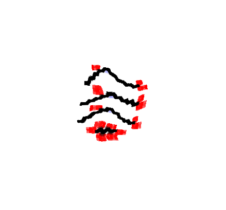 CCCCCC[C@@H](O)C/C=C\CCCCCCCC(=O)O.CCCCCC[C@@H](O)C/C=C\CCCCCCCC(=O)O.CCCCCC[C@@H](O)C/C=C\CCCCCCCC(=O)O.OC[C@@H](O)[C@@H](O)[C@H](O)[C@@H](O)CO